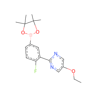 CCOc1cnc(-c2cc(B3OC(C)(C)C(C)(C)O3)ccc2F)nc1